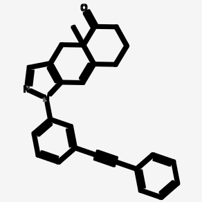 CC12Cc3cnn(-c4cccc(C#Cc5ccccc5)c4)c3C=C1CCCC2=O